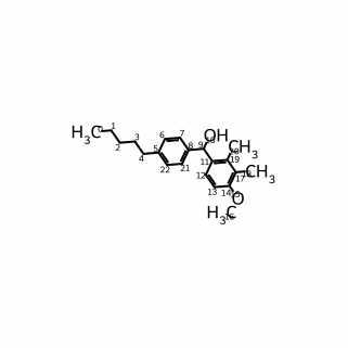 CCCCCc1ccc(C(O)c2ccc(OC)c(C)c2C)cc1